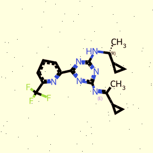 C/C(=N\c1nc(N[C@H](C)C2CC2)nc(-c2cccc(C(F)(F)F)n2)n1)C1CC1